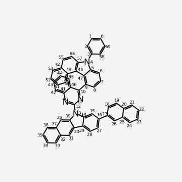 c1ccc(-n2c3cccc(-c4nc(-n5c6cc(-c7ccc8ccccc8c7)ccc6c6cc7ccccc7cc65)nc5ccccc45)c3c3c4ccccc4ccc32)cc1